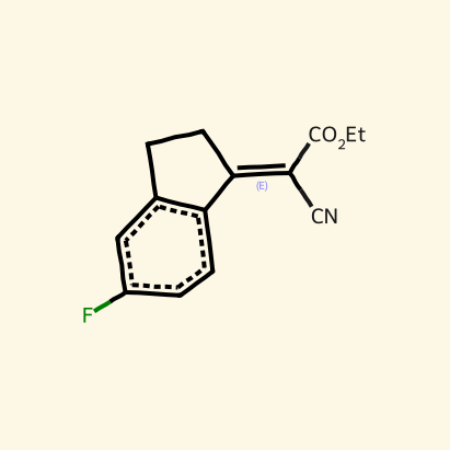 CCOC(=O)/C(C#N)=C1\CCc2cc(F)ccc21